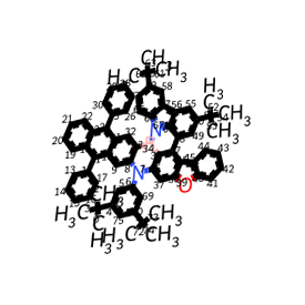 CC(C)(C)c1cc(N2c3cc4c(-c5ccccc5)c5ccccc5c(-c5ccccc5)c4cc3B3c4c2cc2oc5ccccc5c2c4-c2cc(C(C)(C)C)cc4c5cc(C(C)(C)C)ccc5n3c24)cc(C(C)(C)C)c1